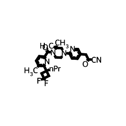 CCCC1(c2nc(C(=O)N3CCN(c4ccc(CC(=O)C#N)cn4)CC3(C)C)ccc2C)CC(F)(F)C1